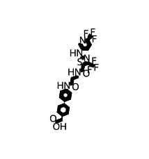 O=C(O)C[C@H]1CC[C@H](c2ccc(NC(=O)CCNC(=O)c3sc(Nc4ccc(C(F)(F)F)nc4)nc3C(F)(F)F)cc2)CC1